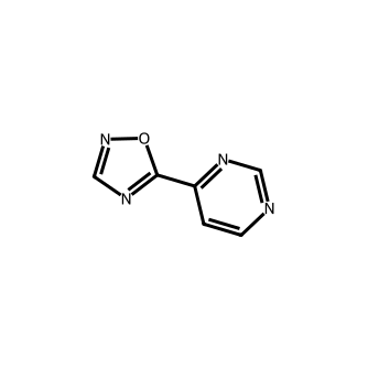 c1cc(-c2ncno2)ncn1